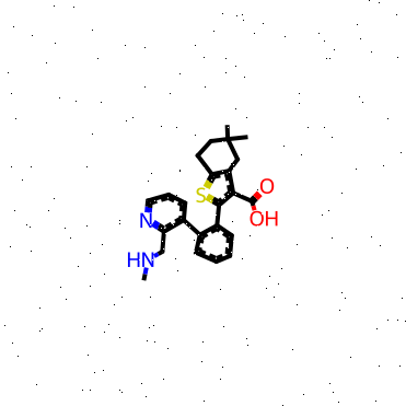 CNCc1ncccc1-c1ccccc1-c1sc2c(c1C(=O)O)CC(C)(C)CC2